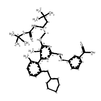 Cc1cccc(CC2CCCCC2)c1-c1nc(NSc2cccc(C(=O)O)c2)nc(OC[C@@H](CC(C)(C)C)NC(=O)OC(C)(C)C)c1C